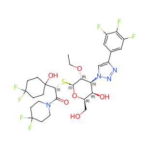 CCO[C@@H]1[C@@H](n2cc(-c3cc(F)c(F)c(F)c3)nn2)[C@@H](O)[C@@H](CO)O[C@H]1S[C@H](C(=O)N1CCC(F)(F)CC1)C1(O)CCC(F)(F)CC1